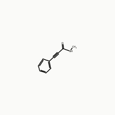 CNC(=O)C#Cc1ccccc1